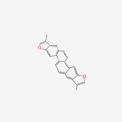 Cc1coc2cc3c(ccc4c5cc6occ(C)c6cc5ccc34)cc12